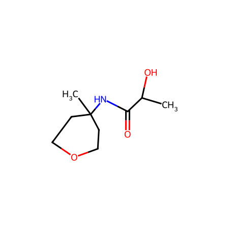 CC(O)C(=O)NC1(C)CCOCC1